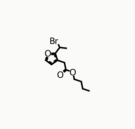 CCCCOC(=O)Cc1ccoc1C(C)Br